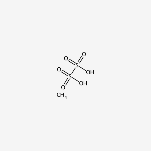 C.O=S(=O)(O)S(=O)(=O)O